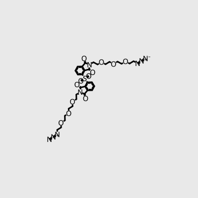 [N-]=[N+]=NCCOCCOCCOCCN1C(=O)c2cccc(S(=O)(=O)c3cccc4c3C(=O)N(CCOCCOCCOCCN=[N+]=[N-])C4=O)c2C1=O